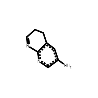 Nc1cnc2c(c1)CCC=N2